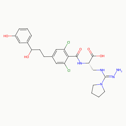 N/N=C(\NC[C@H](NC(=O)c1c(Cl)cc(CCC(O)c2cccc(O)c2)cc1Cl)C(=O)O)N1CCCC1